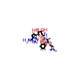 C[C@H](NP(=O)(OC[C@@]1(C)O[C@@H](c2ccc3c(N)ncnn23)[C@H](O)[C@@H]1O)Oc1ccccc1)C(=O)OCCN(C)C